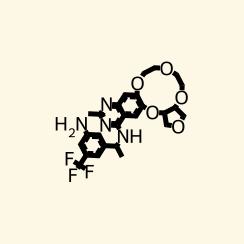 Cc1nc(NC(C)c2cc(N)cc(C(F)(F)F)c2)c2cc3c(cc2n1)OCCOCCOC1COCC1O3